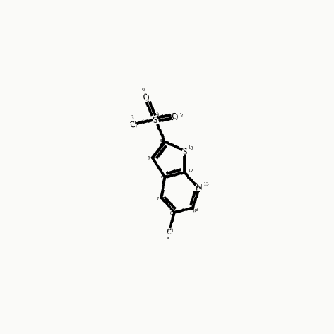 O=S(=O)(Cl)c1cc2cc(Cl)cnc2s1